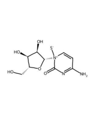 NC1=NC(=O)[N+]([S-])([C@@H]2O[C@H](CO)[C@@H](O)[C@H]2O)C=C1